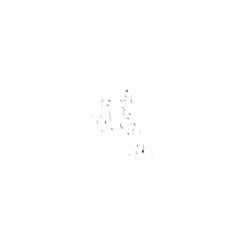 C=CC(=O)N1CCN(c2nc(OCCN(C)C3(CF)COC3)nc3c2CCN(c2cccc4cccc(Cl)c24)C3)C[C@@H]1CC#N